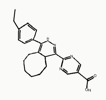 CCc1ccc(C2=C3CCCCCCC3C(c3ncc(C(=O)O)cn3)=NN2)cc1